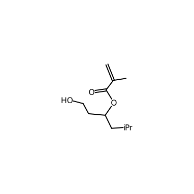 C=C(C)C(=O)OC(CCO)CC(C)C